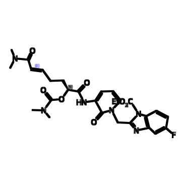 CCOC(=O)n1c(Cn2cccc(NC(=O)[C@H](CC/C=C/C(=O)N(C)C)OC(=O)N(C)C)c2=O)nc2cc(F)ccc21